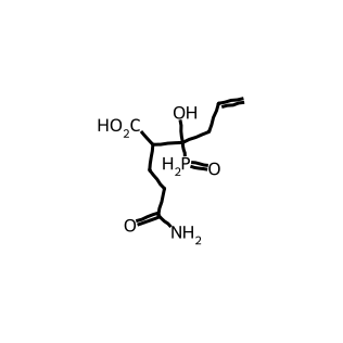 C=CCC(O)([PH2]=O)C(CCC(N)=O)C(=O)O